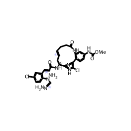 COC(=O)Nc1ccc2c(c1)NC(=O)CC/C=C/C[C@H](NC(=O)/C=C/c1cc(Cl)ccc1N(N)/C=N\N)c1nc-2c(Cl)[nH]1